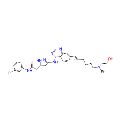 CCN(CCO)CCCC/C=C/c1ccc2c(Nc3cc(CC(=O)Nc4cccc(F)c4)[nH]n3)ncnc2c1